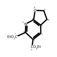 CCOC(=O)c1cc2c(nc1C(=O)OCC)OCC2